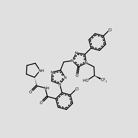 O=C(NC(=O)[C@@H]1CCCN1)c1cccc(Cl)c1-n1cnc(Cn2nc(-c3ccc(Cl)cc3)n(C[C@H](O)C(F)(F)F)c2=O)n1